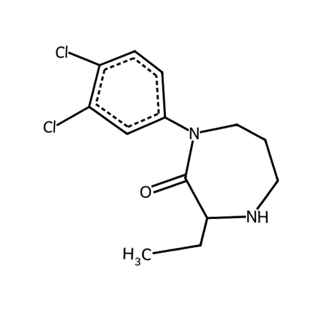 CCC1NCCCN(c2ccc(Cl)c(Cl)c2)C1=O